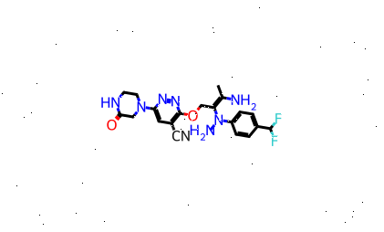 C/C(N)=C(\COc1nnc(N2CCNC(=O)C2)cc1C#N)N(N)c1ccc(C(F)F)cc1